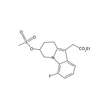 CCOC(=O)Cc1c2n(c3c(F)cccc13)CC(OS(C)(=O)=O)CC2